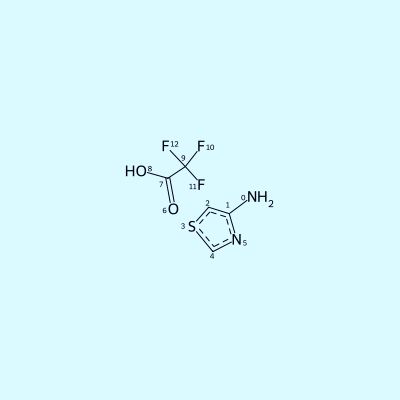 Nc1cscn1.O=C(O)C(F)(F)F